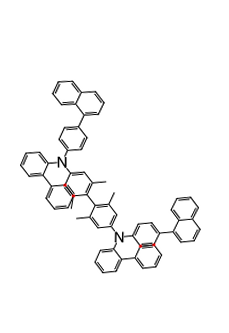 Cc1cc(N(c2ccc(-c3cccc4ccccc34)cc2)c2ccccc2-c2ccccc2)cc(C)c1-c1c(C)cc(N(c2ccc(-c3cccc4ccccc34)cc2)c2ccccc2-c2ccccc2)cc1C